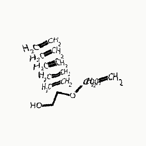 C=C.C=C.C=C.C=C.C=C.C=C.O=C(O)OCCO